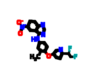 Cc1cc(Nc2ncnc3ccc([N+](=O)[O-])cc23)ccc1Oc1ccc([C@@H](F)CF)nc1